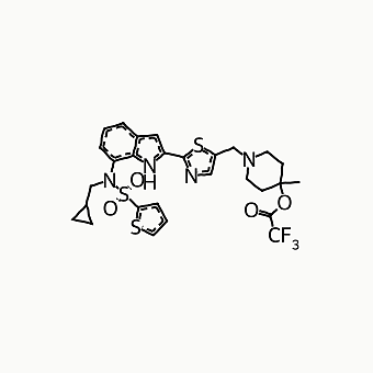 CC1(OC(=O)C(F)(F)F)CCN(Cc2cnc(-c3cc4cccc(N(CC5CC5)S(=O)(=O)c5cccs5)c4[nH]3)s2)CC1